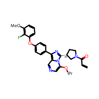 C=CC(=O)N1CC[C@@H](c2nc(-c3ccc(Oc4cccc(OC)c4F)cc3)c3cncc(OC(C)C)n23)C1